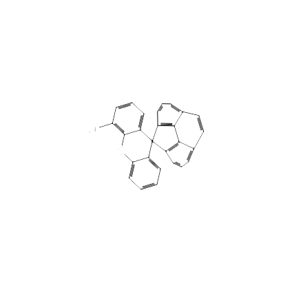 Brc1cccc2c1Sc1ccccc1C21c2cccc3ccc4cccc1c4c23